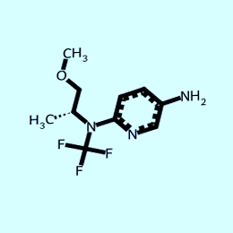 COC[C@@H](C)N(c1ccc(N)cn1)C(F)(F)F